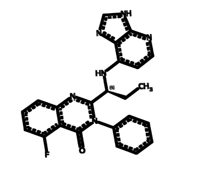 CC[C@H](Nc1ccnc2[nH]cnc12)c1nc2cccc(F)c2c(=O)n1-c1ccccc1